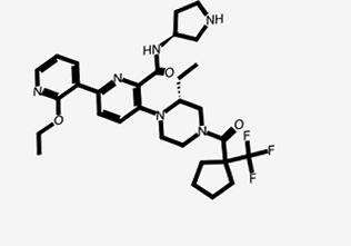 CCOc1ncccc1-c1ccc(N2CCN(C(=O)C3(C(F)(F)F)CCCC3)C[C@H]2CC)c(C(=O)N[C@H]2CCNC2)n1